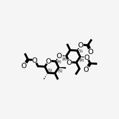 CCC1O[C@H](O[C@H]2OC(COC(C)=O)[C@@H](C)C(C)[C@@H]2C)C(C)[C@H](OC(C)=O)[C@@H]1OC(C)=O